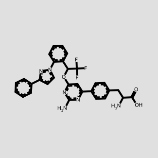 Nc1nc(OC(c2ccccc2-n2ccc(-c3ccccc3)n2)C(F)(F)F)cc(-c2ccc(CC(N)C(=O)O)cc2)n1